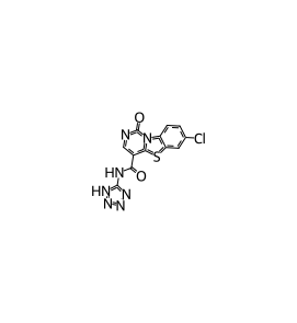 O=C(Nc1nnn[nH]1)c1cnc(=O)n2c1sc1cc(Cl)ccc12